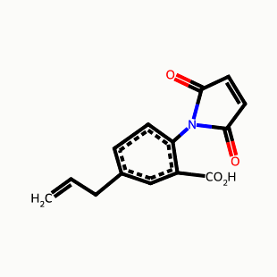 C=CCc1ccc(N2C(=O)C=CC2=O)c(C(=O)O)c1